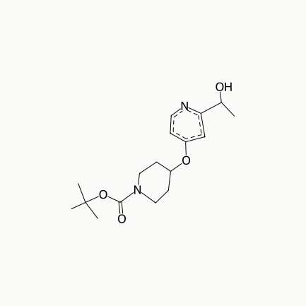 CC(O)c1cc(OC2CCN(C(=O)OC(C)(C)C)CC2)ccn1